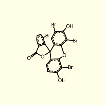 O=C1OC2(c3ccc(O)c(Br)c3Oc3c2cc(Br)c(O)c3Br)c2c(Br)cccc21